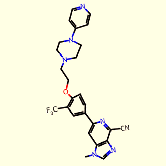 Cn1cnc2c(C#N)nc(-c3ccc(OCCN4CCN(c5ccncc5)CC4)c(C(F)(F)F)c3)cc21